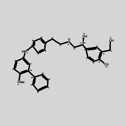 COc1ccc(Nc2ccc(CCNC[C@@H](O)c3ccc(O)c(CO)c3)cc2)cc1-c1ccccc1